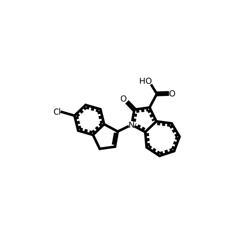 O=C(O)c1c2cccccc-2n(C2=CCc3cc(Cl)ccc32)c1=O